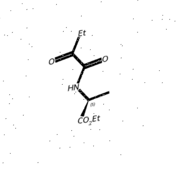 CCOC(=O)[C@H](C)NC(=O)C(=O)CC